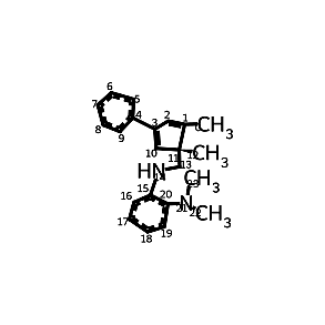 CC1=CC(c2ccccc2)=C[C@@]1(C)CNc1ccccc1N(C)C